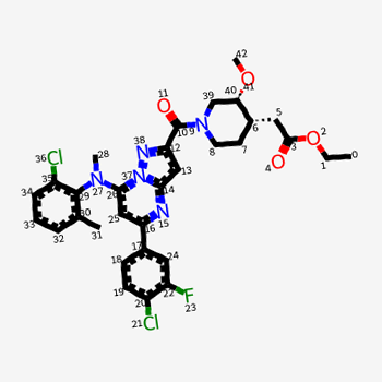 CCOC(=O)C[C@@H]1CCN(C(=O)c2cc3nc(-c4ccc(Cl)c(F)c4)cc(N(C)c4c(C)cccc4Cl)n3n2)C[C@@H]1OC